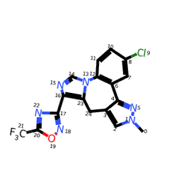 Cn1cc2c(n1)-c1cc(Cl)ccc1-n1cnc(-c3noc(C(F)(F)F)n3)c1C2